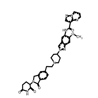 COc1cc2nn(C3CCN(CCc4ccc5c(c4)CN(C4CCC(=O)NC4=O)C5=O)CC3)cc2cc1NC(=O)c1cnn2cccnc12